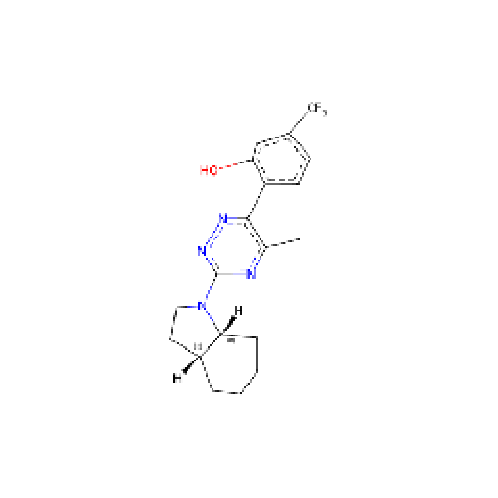 Cc1nc(N2CC[C@H]3CCCC[C@H]32)nnc1-c1ccc(C(F)(F)F)cc1O